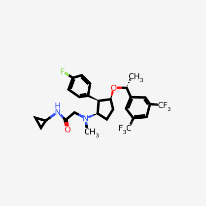 C[C@@H](O[C@H]1CC[C@@H](N(C)CC(=O)NC2CC2)[C@H]1c1ccc(F)cc1)c1cc(C(F)(F)F)cc(C(F)(F)F)c1